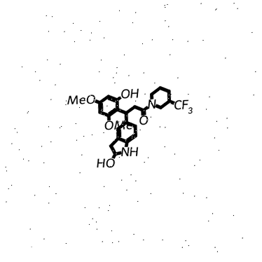 COc1cc(O)c(C(CC(=O)N2CCCC(C(F)(F)F)C2)C2C=C3CC(O)NC3=CC2)c(OC)c1